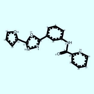 O=C(Nc1cccc(-c2nnc(-c3ccco3)o2)c1)c1ccccn1